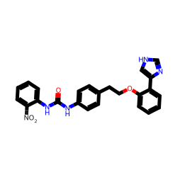 O=C(Nc1ccc(CCOc2ccccc2-c2c[nH]cn2)cc1)Nc1ccccc1[N+](=O)[O-]